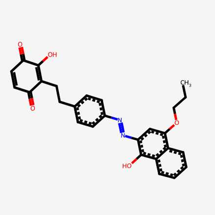 CCCOc1cc(/N=N/c2ccc(CCC3=C(O)C(=O)C=CC3=O)cc2)c(O)c2ccccc12